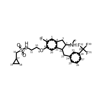 CNC1Cc2cc(F)c(OCCNS(=O)(=O)CC3CC3)cc2C1Cc1cccc(C(F)(F)F)c1